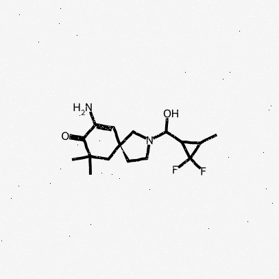 CC1C(C(O)N2CC[C@@]3(C=C(N)C(=O)C(C)(C)C3)C2)C1(F)F